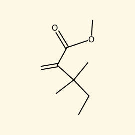 C=C(C(=O)OC)C(C)(C)CC